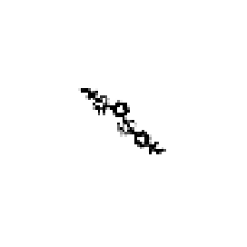 CCC(C)(C)c1ccc(-c2nnc(-c3cccc(-c4nnc(C(C)(C)CC)o4)c3)o2)cc1